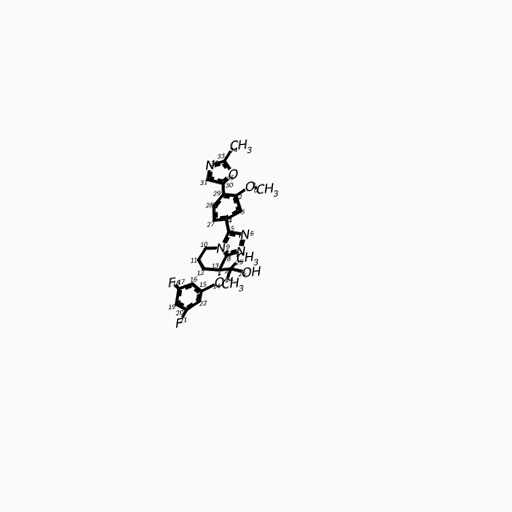 COc1cc(-c2nnc3n2CCC[C@]3(Oc2cc(F)cc(F)c2)C(C)(C)O)ccc1-c1cnc(C)o1